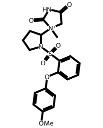 COc1ccc(Oc2ccccc2S(=O)(=O)N2CCCC2[N+]2(C)CC(=O)NC2=O)cc1